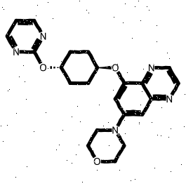 c1cnc(O[C@H]2CC[C@H](Oc3cc(N4CCOCC4)cc4nccnc34)CC2)nc1